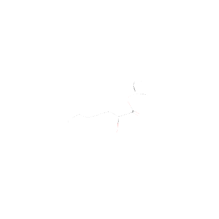 CCCCC(O)C(=O)O[SiH](C)C